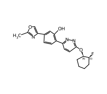 Cc1nc(-c2ccc(-c3ccc(O[C@@H]4CCCC[C@@H]4F)nn3)c(O)c2)co1